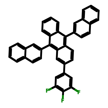 Fc1cc(-c2ccc3c(-c4ccc5ccccc5c4)c4ccccc4c(-c4ccc5ccccc5c4)c3c2)cc(F)c1F